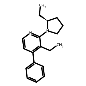 CCc1c(-c2ccccc2)ccnc1N1CCC[C@@H]1CC